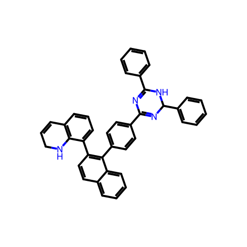 C1=Cc2cccc(-c3ccc4ccccc4c3-c3ccc(C4=NC(c5ccccc5)NC(c5ccccc5)=N4)cc3)c2NC1